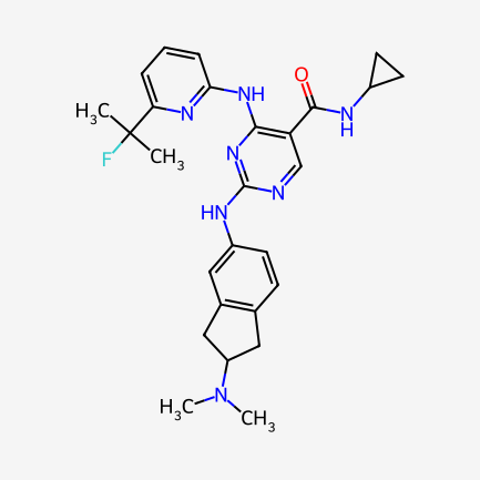 CN(C)C1Cc2ccc(Nc3ncc(C(=O)NC4CC4)c(Nc4cccc(C(C)(C)F)n4)n3)cc2C1